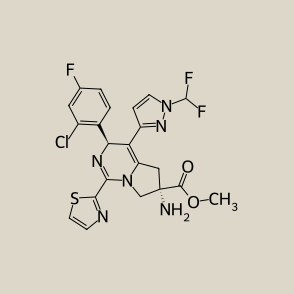 COC(=O)[C@]1(N)CC2=C(c3ccn(C(F)F)n3)[C@H](c3ccc(F)cc3Cl)N=C(c3nccs3)N2C1